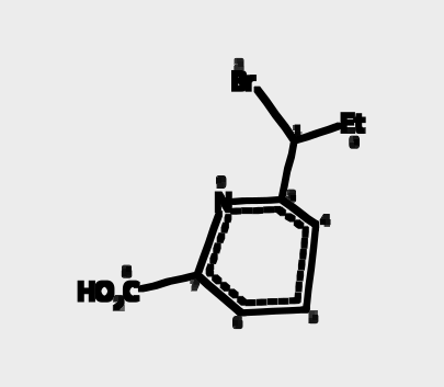 CCC(Br)c1cccc(C(=O)O)n1